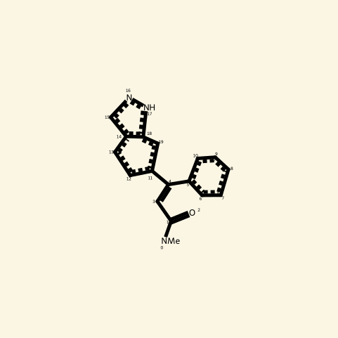 CNC(=O)/C=C(\c1ccccc1)c1ccc2cn[nH]c2c1